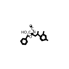 Cc1ccc(C(C)CC(N=C=O)(OCc2ccccc2)C(=O)O)c(C)c1